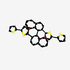 c1csc(-c2ccc(-c3ccc4ccccc4c3-c3c(-c4ccc(-c5cccs5)s4)ccc4ccccc34)s2)c1